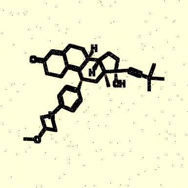 COC1CN(c2ccc([C@H]3C[C@@]4(C)[C@@H](CC[C@@]4(O)C#CC(C)(C)C)[C@@H]4CCC5=CC(=O)CCC5=C43)cc2)C1